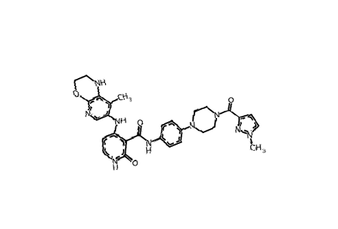 Cc1c(Nc2cc[nH]c(=O)c2C(=O)Nc2ccc(N3CCN(C(=O)c4ccn(C)n4)CC3)cc2)cnc2c1NCCO2